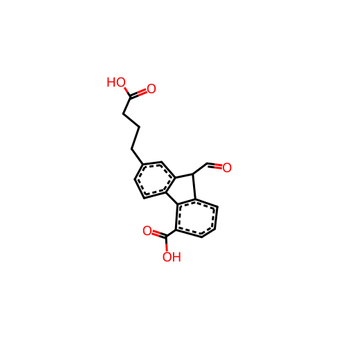 O=CC1c2cc(CCCC(=O)O)ccc2-c2c(C(=O)O)cccc21